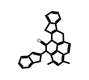 Cc1cc(C)c2ccc3c4c2c1C(C1=Cc2ccccc2C1)C(=O)C4C1=C(C3)c2ccccc2C1